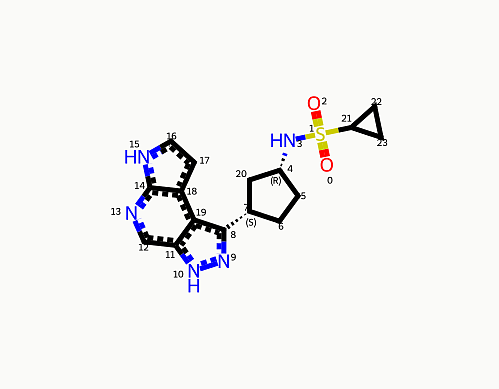 O=S(=O)(N[C@@H]1CC[C@H](c2n[nH]c3cnc4[nH]ccc4c23)C1)C1CC1